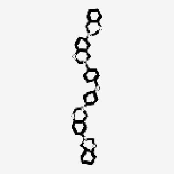 c1ccc2c(c1)CN(c1ccc3c(c1)CN(c1ccc(Oc4ccc(N5COc6ccc(N7COc8ccccc8C7)cc6C5)cc4)cc1)CO3)CO2